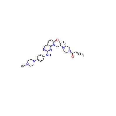 C=CC(=O)N1CCN(C(C)Cn2c(=O)ccc3cnc(Nc4ccc(N5CCN(C(C)=O)CC5)cc4)nc32)CC1